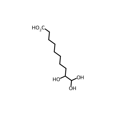 O=C(O)CCCCCCCC(O)C(O)O